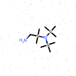 C[Si](C)(C)N([Si](C)(C)C)[Si](C)(C)CN